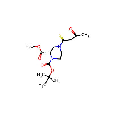 COC(=O)[C@@H]1CN(C(=S)CC(C)=O)CCN1C(=O)OC(C)(C)C